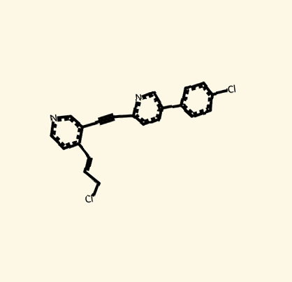 ClC/C=C/c1ccncc1C#Cc1ccc(-c2ccc(Cl)cc2)cn1